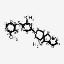 Cc1nc(N2CCC3(CC2)Cn2nccc2C3N)cnc1Sc1ccnc(C)c1F